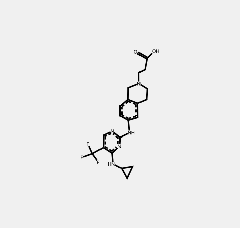 O=C(O)CCN1CCc2cc(Nc3ncc(C(F)(F)F)c(NC4CC4)n3)ccc2C1